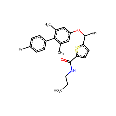 CCCC(Oc1cc(C)c(-c2ccc(C(C)C)cc2)c(C)c1)c1ccc(C(=O)NCCC(=O)O)s1